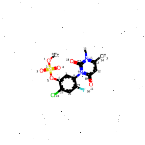 CCOS(=O)(=O)Oc1cc(-n2c(=O)cc(C(F)(F)F)n(C)c2=O)c(F)cc1Cl